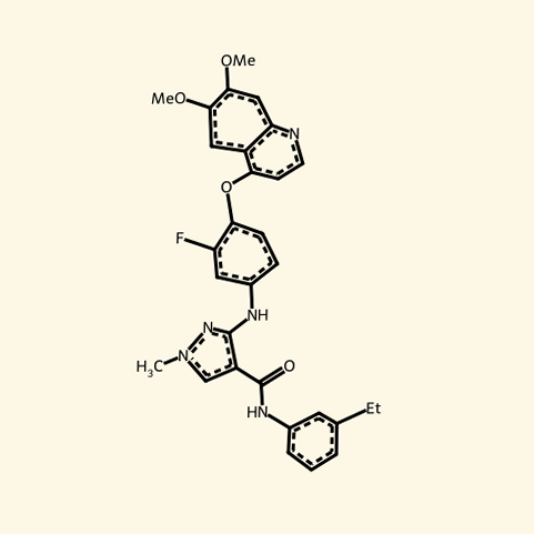 CCc1cccc(NC(=O)c2cn(C)nc2Nc2ccc(Oc3ccnc4cc(OC)c(OC)cc34)c(F)c2)c1